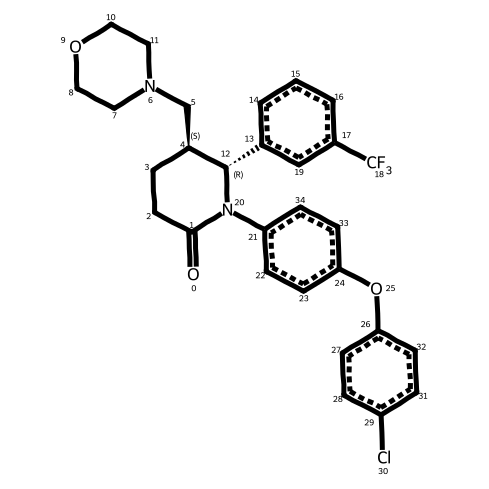 O=C1CC[C@@H](CN2CCOCC2)[C@H](c2cccc(C(F)(F)F)c2)N1c1ccc(Oc2ccc(Cl)cc2)cc1